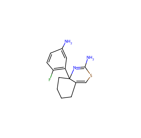 NC1=NC2(c3cc(N)ccc3F)CCCCC2=CS1